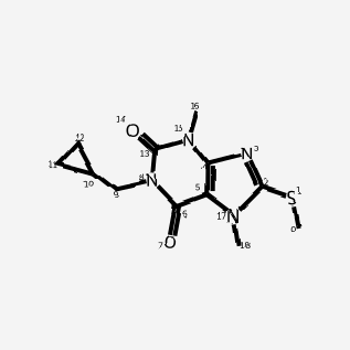 CSc1nc2c(c(=O)n(CC3CC3)c(=O)n2C)n1C